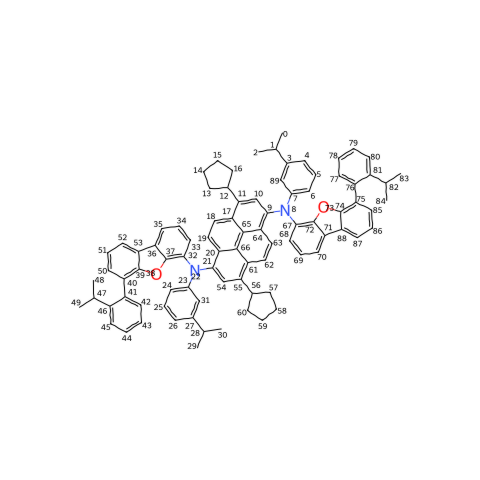 CC(C)c1cccc(N(c2cc(C3CCCC3)c3ccc4c(N(c5cccc(C(C)C)c5)c5cccc6c5oc5c(-c7ccccc7C(C)C)cccc56)cc(C5CCCC5)c5ccc2c3c54)c2cccc3c2oc2c(-c4ccccc4C(C)C)cccc23)c1